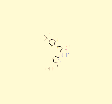 NC(=O)c1cc(-c2c(F)cc(C3(O)COC3)cc2F)sc1Nc1cccc(CC=O)n1